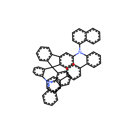 c1ccc(-c2ccc(-c3ccccc3N(c3ccc4c(c3)-c3ccccc3C43c4ccccc4-n4c5ccccc5c5cccc3c54)c3cccc4ccccc34)cc2)cc1